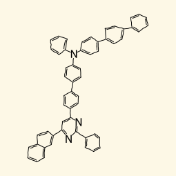 c1ccc(-c2ccc(-c3ccc(N(c4ccccc4)c4ccc(-c5ccc(-c6cc(-c7ccc8ccccc8c7)nc(-c7ccccc7)n6)cc5)cc4)cc3)cc2)cc1